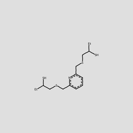 CCC(S)CSCc1cccc(CSCC(S)CC)n1